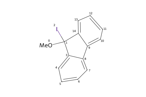 COC1(I)c2ccccc2-c2ccccc21